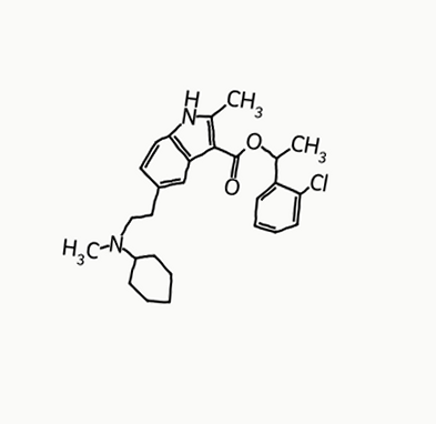 Cc1[nH]c2ccc(CCN(C)C3CCCCC3)cc2c1C(=O)OC(C)c1ccccc1Cl